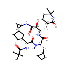 CN(C(=O)[C@H](NC(=O)C(C)(C)C)C1CCCC1)[C@@H](CC1CCC1)C(=O)N[C@@H](C[C@@H]1CCC(C)(C)NC1=O)C(=O)C(=O)NC1CC1